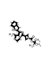 CC(C)(C)OC(=O)N1CC(c2nc(C3Cc4ccccc4N3)c3c(N)nccn23)C1